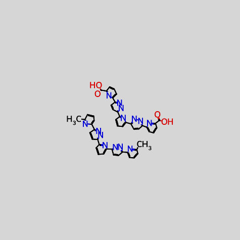 Cc1cccc(-c2ccc(-c3cccc(-c4ccc(-c5cccc(C)n5)nn4)n3)nn2)n1.O=C(O)c1cccc(-c2ccc(-c3cccc(-c4ccc(-c5cccc(C(=O)O)n5)nn4)n3)nn2)n1